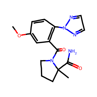 COc1ccc(-n2nccn2)c(C(=O)N2CCCC2(C)C(N)=O)c1